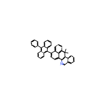 CC1(C)c2c(ncc3ccccc23)-c2ccc(-c3c4ccccc4c(-c4ccccc4)c4ccccc34)c3cccc1c23